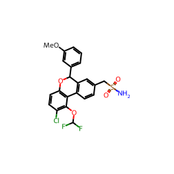 COc1cccc(C2Oc3ccc(Cl)c(OC(F)F)c3-c3ccc(CS(N)(=O)=O)cc32)c1